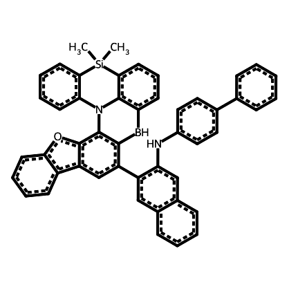 C[Si]1(C)c2ccccc2N2c3c(cccc31)Bc1c(-c3cc4ccccc4cc3Nc3ccc(-c4ccccc4)cc3)cc3c(oc4ccccc43)c12